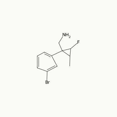 CC1C(F)C1(CN)c1cccc(Br)c1